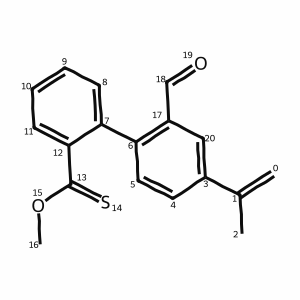 C=C(C)c1ccc(-c2ccccc2C(=S)OC)c(C=O)c1